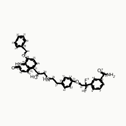 NC(=O)c1cccc(C(F)(F)COc2ccc(CCNC[C@H](O)c3ccc(OCc4ccccc4)c4[nH]c(=O)ccc34)cc2)c1